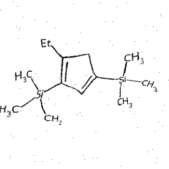 CCC1=C([Si](C)(C)C)C=C([Si](C)(C)C)C1